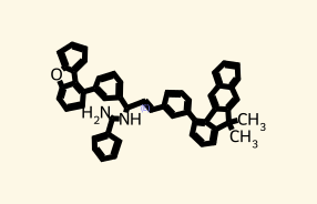 CC1(C)c2cc3ccccc3cc2-c2c(-c3cccc(/C=C/C(NC(N)c4ccccc4)c4cccc(-c5cccc6oc7ccccc7c56)c4)c3)cccc21